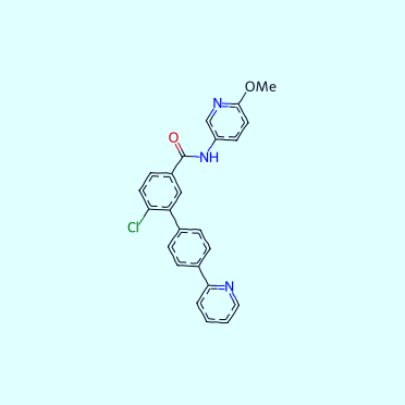 COc1ccc(NC(=O)c2ccc(Cl)c(-c3ccc(-c4ccccn4)cc3)c2)cn1